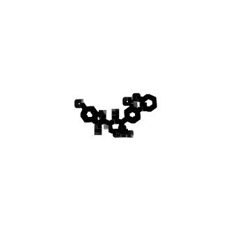 COC[C@H](NC(=O)c1ccc(N2CCCCC2=O)c(C(F)(F)F)c1)c1nc2cc(Cl)ccc2[nH]1